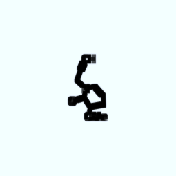 C#CCn1cccc(OC)c1=O